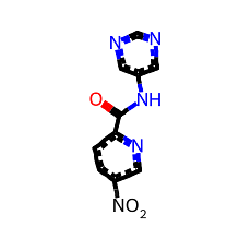 O=C(Nc1cncnc1)c1ccc([N+](=O)[O-])cn1